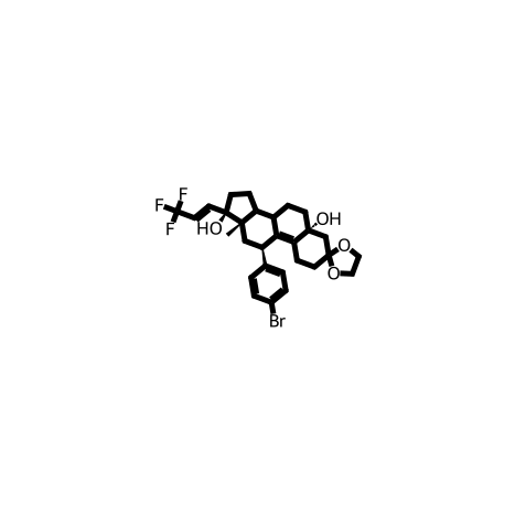 C[C@]12C[C@H](c3ccc(Br)cc3)C3=C4CCC5(C[C@]4(O)CCC3C1CC[C@@]2(O)/C=C/C(F)(F)F)OCCO5